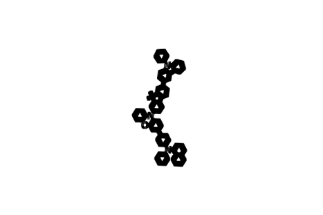 CC1(C)c2cc(-c3ccc4c(c3)c3ccccc3n4-c3ccccc3)ccc2-c2ccc(N3c4ccccc4Oc4cc(-c5ccc(N(c6ccccc6)c6cccc7ccccc67)cc5)ccc43)cc21